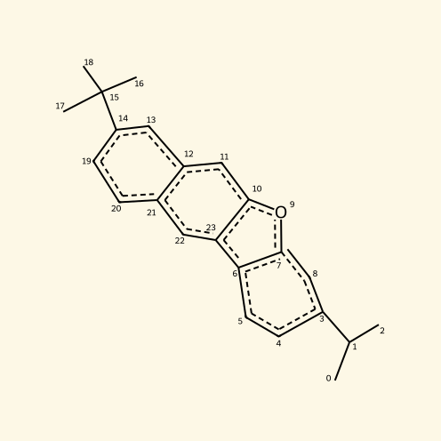 CC(C)c1ccc2c(c1)oc1cc3cc(C(C)(C)C)ccc3cc12